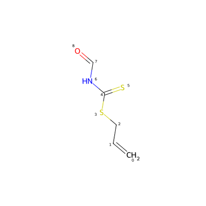 C=CCSC(=S)NC=O